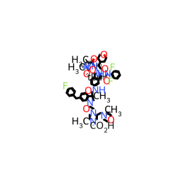 CC1CN(CC(=O)N2CC(C)(C(=O)Nc3ccc4c(c3)[C@@H](C(=O)Nc3c(F)cccc3F)N(C(=O)[C@@H](NC(=O)[C@H](C)N(C)C(=O)OC(C)(C)C)C3CCOCC3)C4)c3ccc(Cc4ccc(F)cc4)cc32)C(CN2CCOC[C@H]2C)CN1C(=O)O